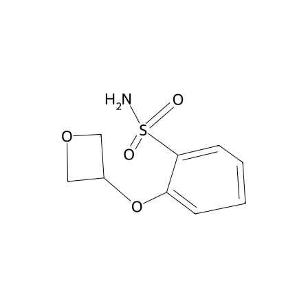 NS(=O)(=O)c1ccccc1OC1COC1